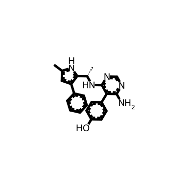 Cc1cc(-c2ccccc2)c([C@H](C)Nc2ncnc(N)c2-c2ccc(O)cc2)[nH]1